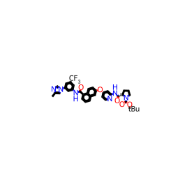 Cc1cn(-c2cc(NC(=O)c3cccc4cc(Oc5ccnc(NC(=O)[C@@H]6CCCN6C(=O)OC(C)(C)C)c5)ccc34)cc(C(F)(F)F)c2)cn1